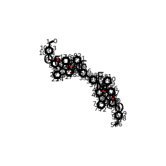 C=Cc1ccc(Oc2ccc(C3(c4c(F)cccc4F)c4ccccc4-c4ccc(N(c5ccc(-c6ccc(N(c7ccc8c(c7)C(c7ccc(Oc9ccc(C=C)cc9)cc7)(c7c(F)cccc7F)c7ccccc7-8)c7c(F)cccc7F)cc6)cc5)c5c(F)cccc5F)cc43)cc2)cc1